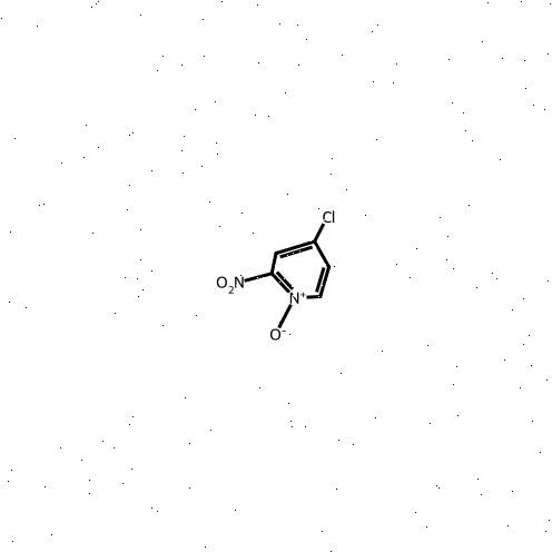 O=[N+]([O-])c1cc(Cl)cc[n+]1[O-]